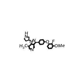 COc1cccc(Oc2ccc(-c3nn(C4CCNC4)c4c(C)cncc34)cc2)c1F